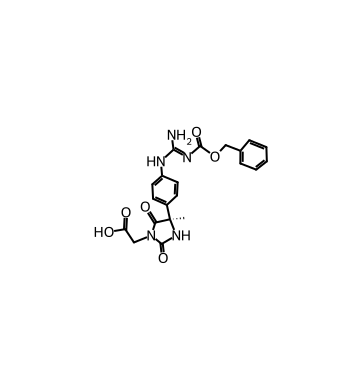 C[C@]1(c2ccc(NC(N)=NC(=O)OCc3ccccc3)cc2)NC(=O)N(CC(=O)O)C1=O